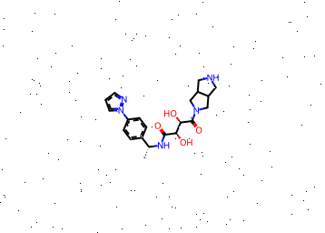 C[C@@H](NC(=O)[C@H](O)[C@@H](O)C(=O)N1CC2CNCC2C1)c1ccc(-n2cccn2)cc1